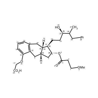 COCCC(=O)O[C@@H]1C[C@@H]2Cc3c(cccc3OCC(=O)O)C[C@@H]2[C@H]1CC[C@@H](O)C(C)CC(C)C